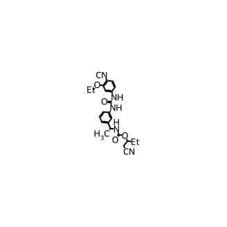 [C-]#[N+]c1ccc(NC(=O)Nc2cccc([C@H](C)NC(=O)OC(CC)CC#N)c2)cc1OCC